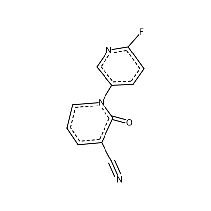 N#Cc1cccn(-c2ccc(F)nc2)c1=O